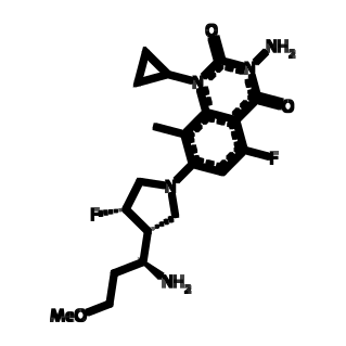 COCC[C@H](N)[C@H]1CN(c2cc(F)c3c(=O)n(N)c(=O)n(C4CC4)c3c2C)C[C@H]1F